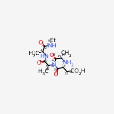 CCNC(=O)[C@H](C)NC(=O)[C@H](C)N(C(=O)CCC(=O)O)C(=O)[C@H](C)N